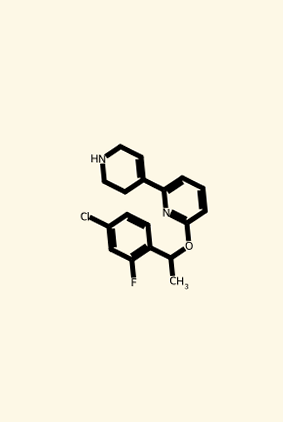 CC(Oc1cccc(C2=CCNCC2)n1)c1ccc(Cl)cc1F